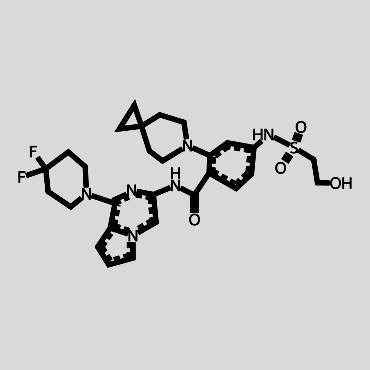 O=C(Nc1cn2cccc2c(N2CCC(F)(F)CC2)n1)c1ccc(NS(=O)(=O)CCO)cc1N1CCC2(CC1)CC2